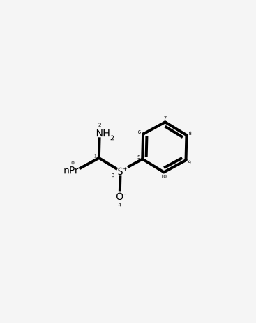 CCCC(N)[S+]([O-])c1ccccc1